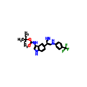 CC(C)(C)OC(=O)Nc1c[nH]c2ccc(/C(C=N)=C/Nc3ccc(C(F)(F)F)cc3)cc12